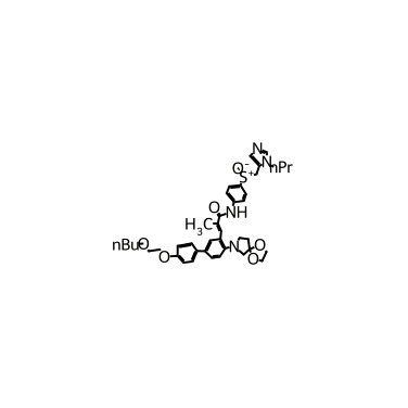 CCCCOCCOc1ccc(-c2ccc(N3CCC4(C3)OCCO4)c(/C=C(\C)C(=O)Nc3ccc([S@@+]([O-])Cc4cncn4CCC)cc3)c2)cc1